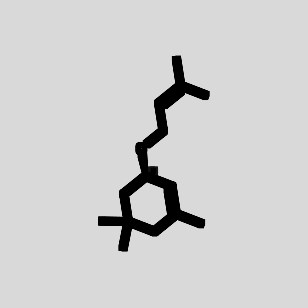 CC(C)=CCO[C@H]1C=C(C)CC(C)(C)C1